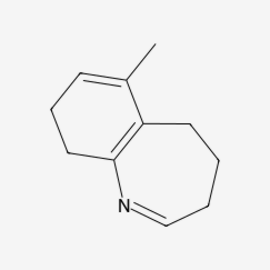 CC1=CCCC2=C1CCCC=N2